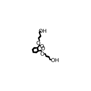 O=C(OCC=CCO)c1ccccc1C(=O)OCC=CCO